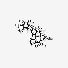 Bc1c(C)c(C)c(C)c(CC2=CC=C3C4C2c2cccc5c2N4C2C(CC(C(C)(C)C)=CC2C5(C)C)C3(C)C)c1C